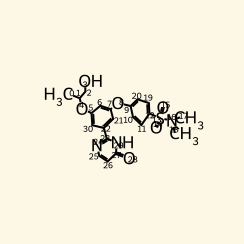 CC(CO)Oc1cc(Oc2ccc(S(=O)(=O)N(C)C)cc2)cc(-c2nccc(=O)[nH]2)c1